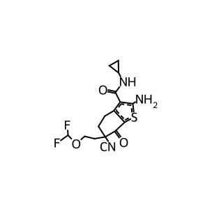 N#CC1(CCOC(F)F)CCc2c(sc(N)c2C(=O)NC2CC2)C1=O